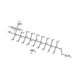 CCCC(F)(F)C(F)(F)C(F)(F)C(F)(F)C(F)(F)C(F)(F)C(F)(F)C(F)(F)C(F)(F)S(=O)(=O)O.N